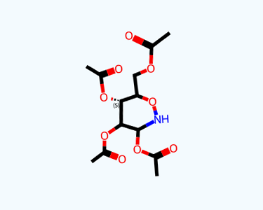 CC(=O)OCC1ONC(OC(C)=O)C(OC(C)=O)[C@@H]1OC(C)=O